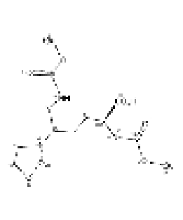 CC(C)(C)OC(=O)NCC(CC[C@H](NC(=O)OC(C)(C)C)C(=O)O)N1CCOO1